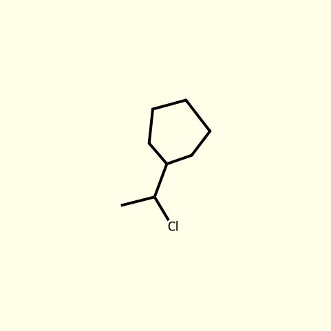 CC(Cl)[C]1CCCCC1